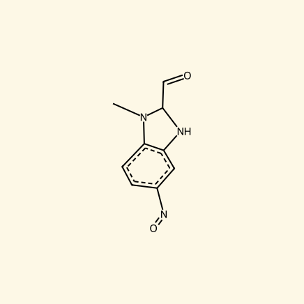 CN1c2ccc(N=O)cc2NC1C=O